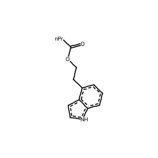 CCCC(=O)OCCc1cccc2[nH]ccc12